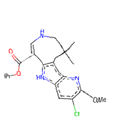 COc1nc2c3c([nH]c2cc1Cl)C(C(=O)OC(C)C)=CNCC3(C)C